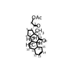 CC(=O)OCC(=O)[C@H]1CC[C@H]2[C@@H]3CCC4CC=CC[C@]4(C)[C@H]3C(=O)C[C@]12C